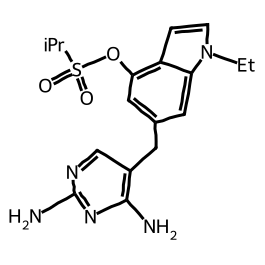 CCn1ccc2c(OS(=O)(=O)C(C)C)cc(Cc3cnc(N)nc3N)cc21